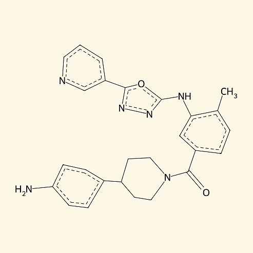 Cc1ccc(C(=O)N2CCC(c3ccc(N)cc3)CC2)cc1Nc1nnc(-c2cccnc2)o1